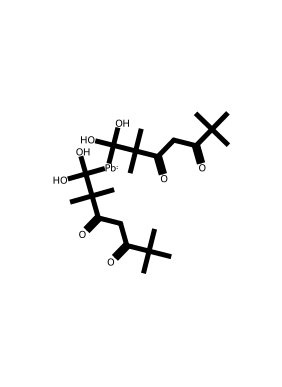 CC(C)(C)C(=O)CC(=O)C(C)(C)[C](O)(O)[Pb][C](O)(O)C(C)(C)C(=O)CC(=O)C(C)(C)C